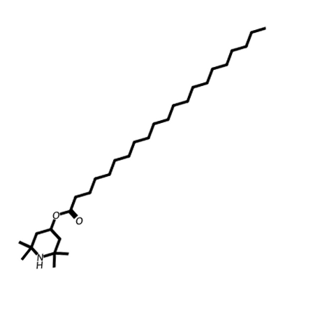 CCCCCCCCCCCCCCCCCCCCC(=O)OC1CC(C)(C)NC(C)(C)C1